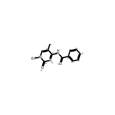 CCn1cc(C)c(NC(=O)c2ccccc2)nc1=O